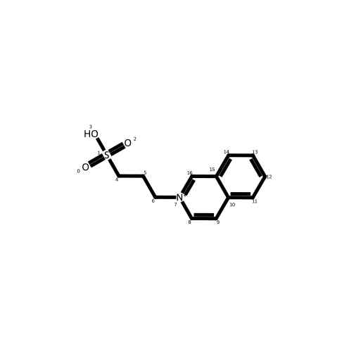 O=S(=O)(O)CCC[n+]1ccc2ccccc2c1